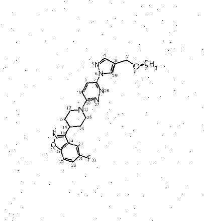 COCc1cnn(-c2ccc(N3CCC(c4noc5ccc(F)cc45)CC3)nn2)c1